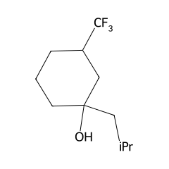 CC(C)CC1(O)CCCC(C(F)(F)F)C1